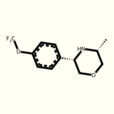 C[C@@H]1COC[C@H](c2ccc(OC(F)(F)F)cc2)N1